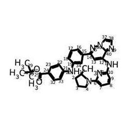 CC1CCCN1c1cccc(Nc2cc(-c3cccc(Nc4ccc(C(=O)OC(C)(C)C)cc4)c3)nn3ccnc23)n1